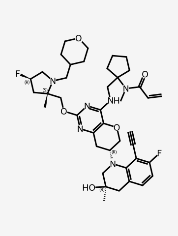 C#Cc1c(F)ccc2c1N([C@H]1COc3c(nc(OC[C@]4(C)C[C@@H](F)CN4CC4CCOCC4)nc3NCC3(N(C)C(=O)C=C)CCCC3)C1)C[C@](C)(O)C2